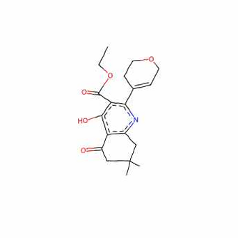 CCOC(=O)c1c(C2=CCOCC2)nc2c(c1O)C(=O)CC(C)(C)C2